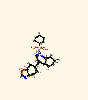 O=S(=O)(c1ccccc1)n1cc(-c2ccc3ncoc3c2)c2ccc(F)cc21